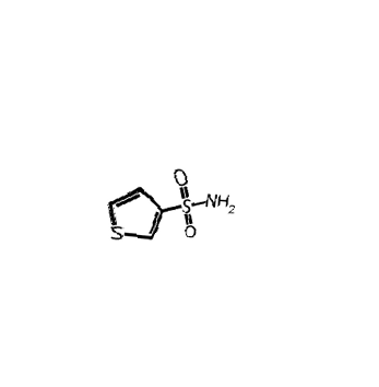 NS(=O)(=O)c1ccsc1